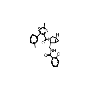 Cc1cccc(-c2sc(C)nc2C(=O)N2C[C@H]3CC3[C@H]2CNC(=O)c2ccccc2Cl)c1